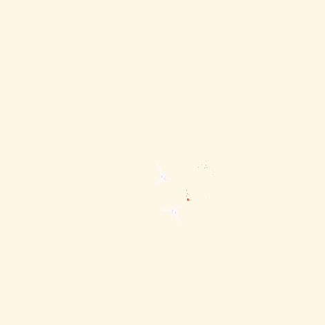 c1ccc(-c2ccc(N(c3ccccc3)c3ccccc3-n3c4ccccc4c4ccccc43)cc2)cc1